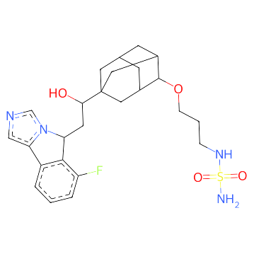 NS(=O)(=O)NCCCOC1C2CC3CC1CC(C(O)CC1c4c(F)cccc4-c4cncn41)(C3)C2